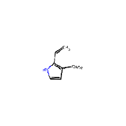 C=Cc1[nH]ccc1OC